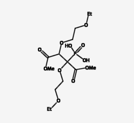 CCOCCOC(C(=O)OC)C(OCCOCC)(C(=O)OC)P(=O)(O)O